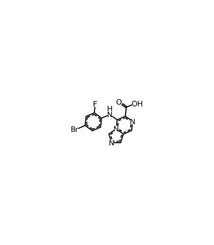 O=C(O)c1ncc2cncn2c1Nc1ccc(Br)cc1F